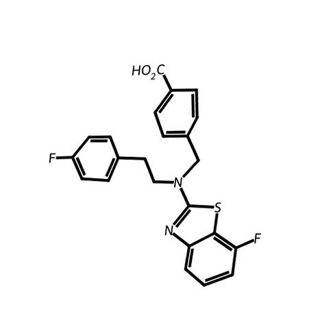 O=C(O)c1ccc(CN(CCc2ccc(F)cc2)c2nc3cccc(F)c3s2)cc1